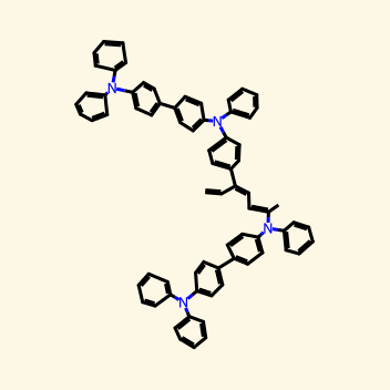 C=C/C(=C\C=C(/C)N(c1ccccc1)c1ccc(-c2ccc(N(c3ccccc3)c3ccccc3)cc2)cc1)c1ccc(N(c2ccccc2)c2ccc(-c3ccc(N(c4ccccc4)c4ccccc4)cc3)cc2)cc1